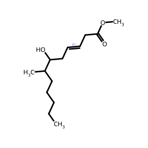 CCCCCC(C)C(O)C/C=C/CC(=O)OC